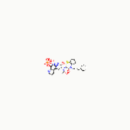 CC(=O)N([C@@H](Cc1ccc(OP(=O)(O)O)c2ncccc12)C(N)=O)[C@H]1CSc2ccccc2N(CCCC2CCCCC2)C1=O